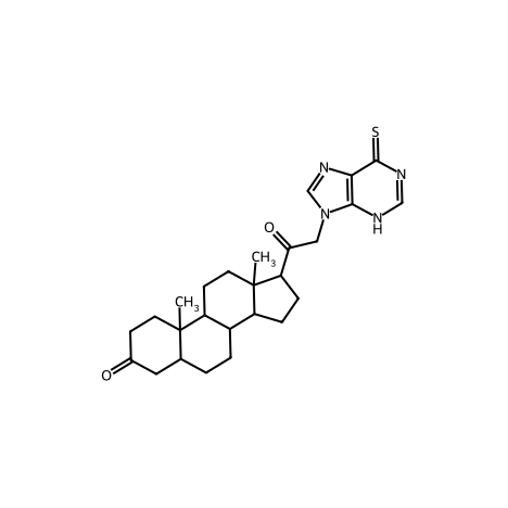 CC12CCC(=O)CC1CCC1C2CCC2(C)C(C(=O)Cn3cnc4c(=S)nc[nH]c43)CCC12